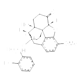 COc1ccc2c3c1O[C@H]1C(=O)CC[C@@]4(O)[C@@H](C2)N(C)CC[C@]314.O=C(O)c1ccccc1O